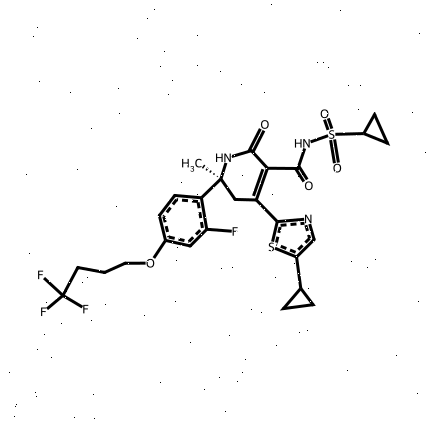 C[C@@]1(c2ccc(OCCCC(F)(F)F)cc2F)CC(c2ncc(C3CC3)s2)=C(C(=O)NS(=O)(=O)C2CC2)C(=O)N1